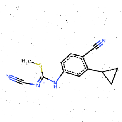 CS/C(=N\C#N)Nc1ccc(C#N)c(C2CC2)c1